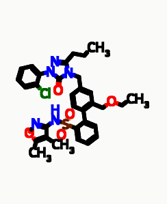 CCCc1nn(-c2ccccc2Cl)c(=O)n1Cc1ccc(-c2ccccc2S(=O)(=O)Nc2noc(C)c2C)c(COCC)c1